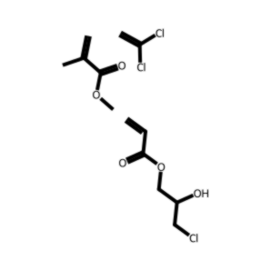 C=C(C)C(=O)OC.C=C(Cl)Cl.C=CC(=O)OCC(O)CCl